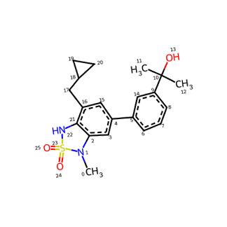 CN1c2cc(-c3cccc(C(C)(C)O)c3)cc(CC3CC3)c2NS1(=O)=O